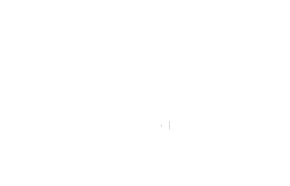 ClC1=C(Cl)CCCCCC1